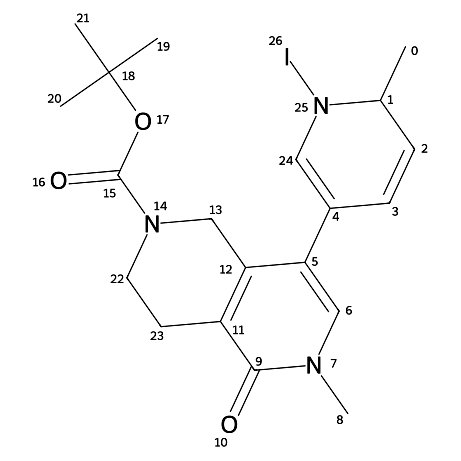 CC1C=CC(c2cn(C)c(=O)c3c2CN(C(=O)OC(C)(C)C)CC3)=CN1I